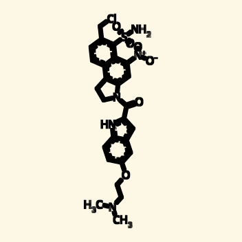 CN(C)CCOc1ccc2[nH]c(C(=O)N3CCc4c3cc([N+](=O)[O-])c3c(S(N)(=O)=O)c(CCl)ccc43)cc2c1